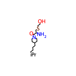 CC(C)CCCCC1CCN(C(=O)C(N)CSCCO)CC1